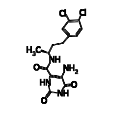 C[C@@H](CCc1ccc(Cl)c(Cl)c1)NC(=O)c1[nH]c(=O)[nH]c(=O)c1N